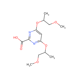 COCC(C)Oc1cc(OC(C)COC)nc(C(=O)O)n1